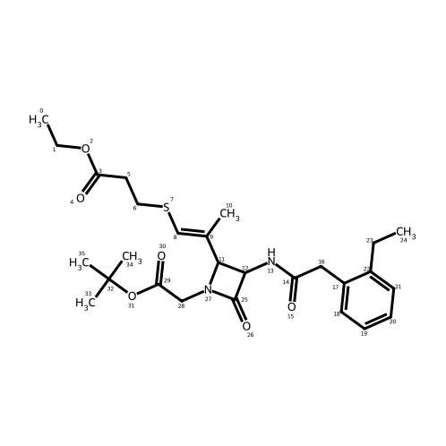 CCOC(=O)CCSC=C(C)C1C(NC(=O)Cc2ccccc2CC)C(=O)N1CC(=O)OC(C)(C)C